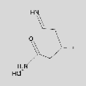 C[C@@H](CC=N)CC(N)=O.Cl